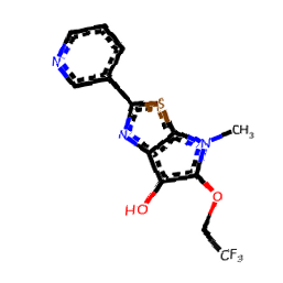 Cn1c(OCC(F)(F)F)c(O)c2nc(-c3cccnc3)sc21